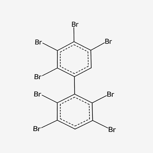 Brc1cc(-c2c(Br)c(Br)cc(Br)c2Br)c(Br)c(Br)c1Br